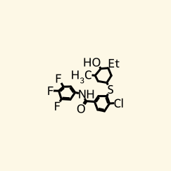 CCC1CC(Sc2cc(C(=O)Nc3cc(F)c(F)c(F)c3)ccc2Cl)CC(C)C1O